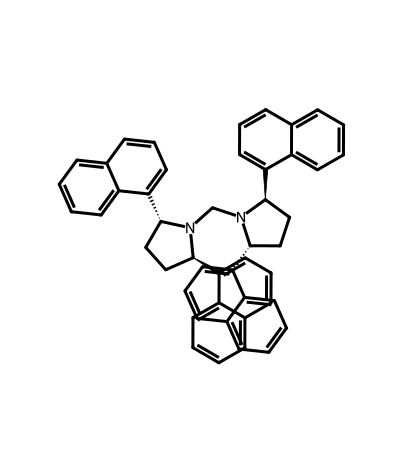 c1ccc2c([C@H]3CC[C@H](c4cccc5ccccc45)N3CN3[C@@H](c4cccc5ccccc45)CC[C@@H]3c3cccc4ccccc34)cccc2c1